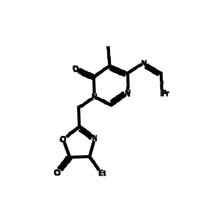 CCC1N=C(Cn2cnc(/N=C\C(C)C)c(C)c2=O)OC1=O